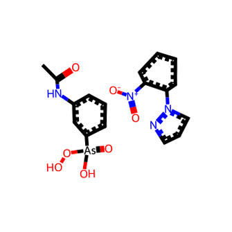 CC(=O)Nc1cccc([As](=O)(O)OO)c1.O=[N+]([O-])c1ccccc1-n1cccn1